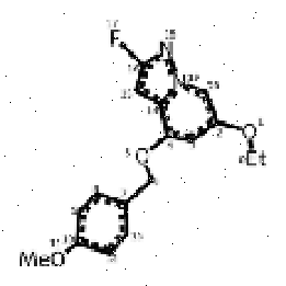 CCOc1cc(OCc2ccc(OC)cc2)c2cc(F)nn2c1